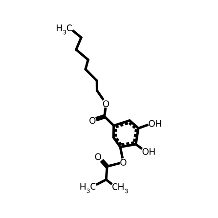 CCCCCCCOC(=O)c1cc(O)c(O)c(OC(=O)C(C)C)c1